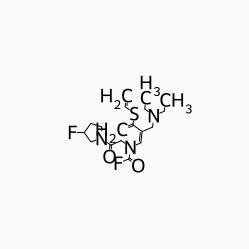 C=CSC(=C)/C(=C\N(CC(=O)N1CCC(F)C1)C(=O)F)CN(CC)CC